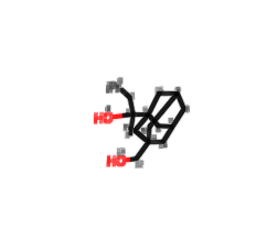 CC(C)CC(C)(O)C12CC3CC(CC(CO)(C3)C1)C2